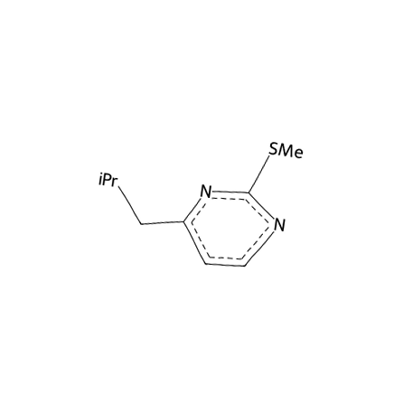 CSc1nccc(CC(C)C)n1